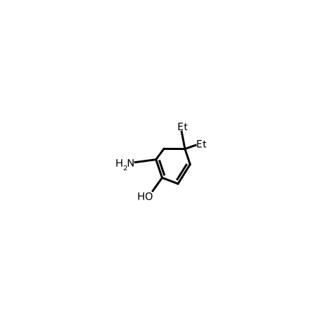 CCC1(CC)C=CC(O)=C(N)C1